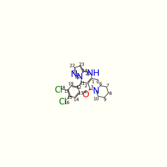 CC1=C(C(=O)N2CCCCC2)C(c2ccc(Cl)c(Cl)c2)n2nccc2N1